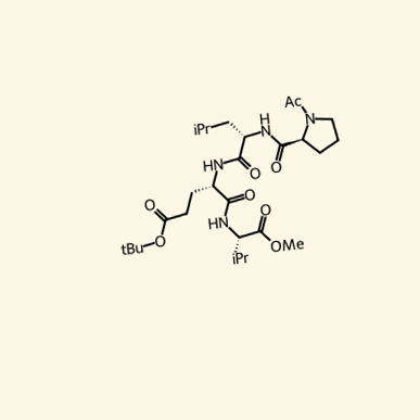 COC(=O)[C@@H](NC(=O)[C@H](CCC(=O)OC(C)(C)C)NC(=O)[C@H](CC(C)C)NC(=O)[C@@H]1CCCN1C(C)=O)C(C)C